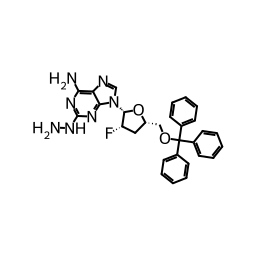 NNc1nc(N)c2ncn([C@@H]3O[C@H](COC(c4ccccc4)(c4ccccc4)c4ccccc4)C[C@@H]3F)c2n1